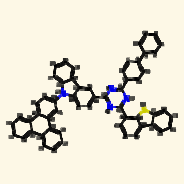 c1ccc(-c2ccc(-c3nc(-c4ccc5c(c4)c4ccccc4n5-c4ccc5c6ccccc6c6ccccc6c5c4)nc(-c4cccc5c4sc4ccccc45)n3)cc2)cc1